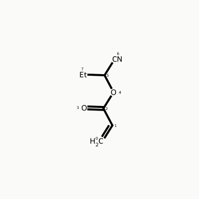 C=CC(=O)OC(C#N)CC